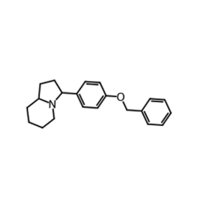 c1ccc(COc2ccc(C3CCC4CCCCN43)cc2)cc1